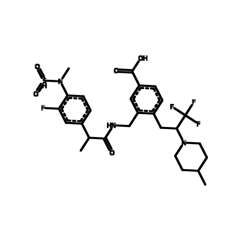 CC1CCN(C(Cc2ccc(C(=O)O)cc2CNC(=O)C(C)c2ccc(N(C)[SH](=O)=O)c(F)c2)C(F)(F)F)CC1